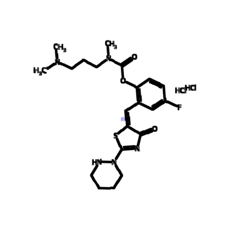 CN(C)CCCN(C)C(=O)Oc1ccc(F)cc1/C=C1/SC(N2CCCCN2)=NC1=O.Cl.Cl